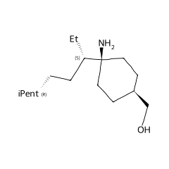 CCC[C@@H](C)CC[C@H](CC)[C@]1(N)CC[C@@H](CO)CC1